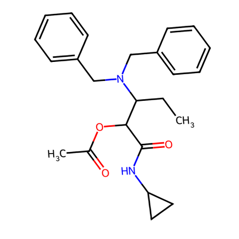 CCC(C(OC(C)=O)C(=O)NC1CC1)N(Cc1ccccc1)Cc1ccccc1